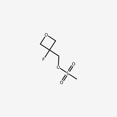 CS(=O)(=O)OCC1(F)COC1